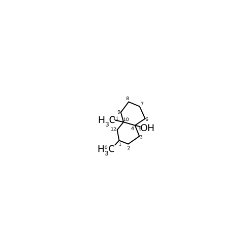 CC1CCC2(O)CCCCC2(C)C1